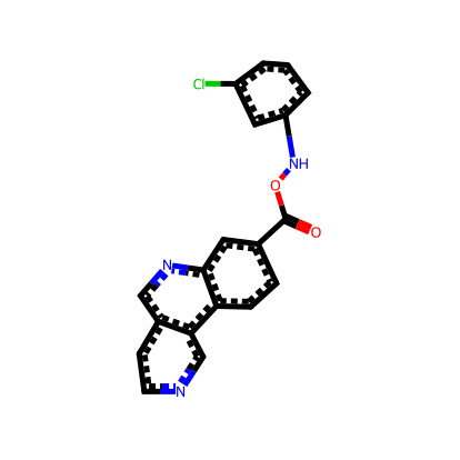 O=C(ONc1cccc(Cl)c1)c1ccc2c(c1)ncc1ccncc12